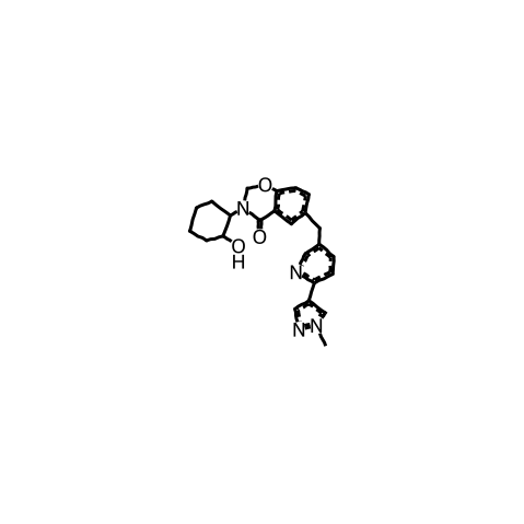 Cn1cc(-c2ccc(Cc3ccc4c(c3)C(=O)N(C3CCCCC3O)CO4)cn2)cn1